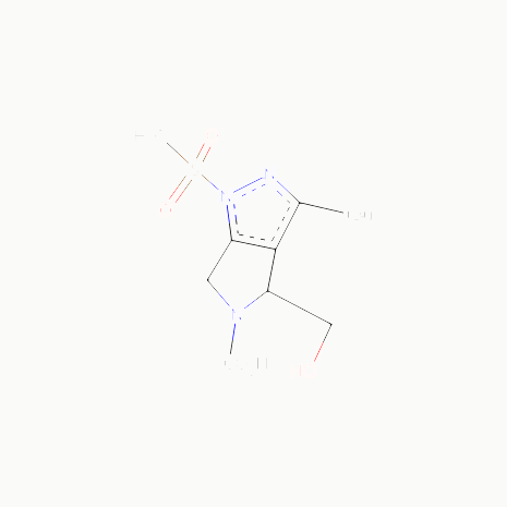 CC(C)(C)c1nn(S(C)(=O)=O)c2c1C(CO)N(C(=O)O)C2